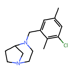 Cc1cc(Cl)c(C)c(CN2CCN3CCC2C3)c1